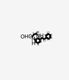 C[C@@H]1CC(C=O)Nc2cccc(CCc3ccccc3)c2N1